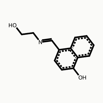 OCCN=Cc1ccc(O)c2ccccc12